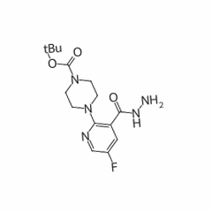 CC(C)(C)OC(=O)N1CCN(c2ncc(F)cc2C(=O)NN)CC1